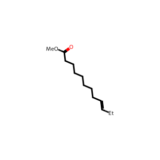 CCC=CCCCCCCCC(=O)OC